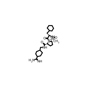 CS(=O)(=O)N[C@H](CC1CCCCC1)C(=O)N1CCC[C@H]1C(=O)NCC1CCC(C(=N)N)CC1